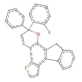 Fc1ccccc1C1(c2ccccc2)C=Cc2c(c3c(c4ccsc24)-c2ccccc2C3)O1